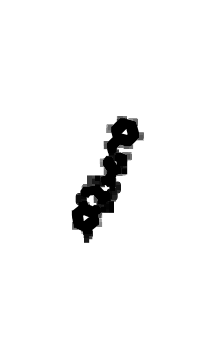 O=C(N[C@H]1COc2ccc(F)cc2NC1=O)c1cn(Cc2ccccc2)cn1